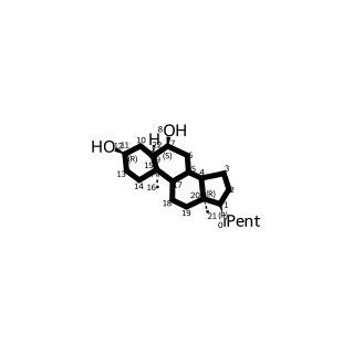 CCC[C@@H](C)C1CCC2C3C[C@H](O)[C@@H]4C[C@H](O)CC[C@]4(C)C3CC[C@@]21C